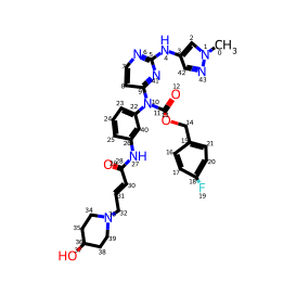 Cn1cc(Nc2nccc(N(C(=O)OCc3ccc(F)cc3)c3cccc(NC(=O)/C=C/CN4CCC(O)CC4)c3)n2)cn1